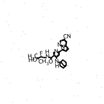 CC(C)(O)[C@H](F)CNC(=O)c1cnc(-c2ccc3cc(C#N)cnn23)cc1NC12CC[C](CC1)CC2